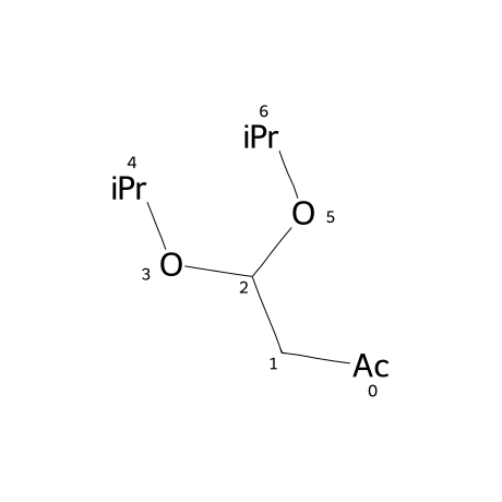 CC(=O)CC(OC(C)C)OC(C)C